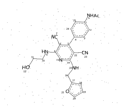 CC(=O)Nc1ccc(-c2c(C#N)c(NCCO)nc(NCc3ccco3)c2C#N)cc1